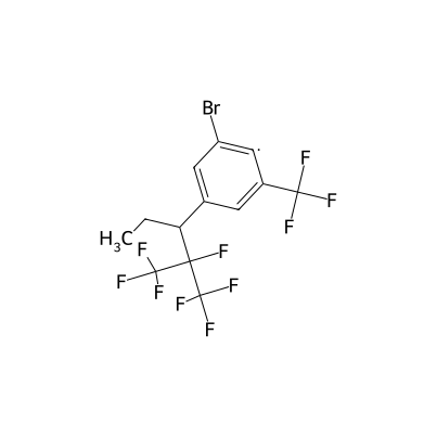 CCC(c1cc(Br)[c]c(C(F)(F)F)c1)C(F)(C(F)(F)F)C(F)(F)F